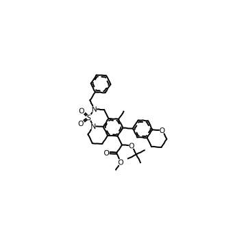 COC(=O)C(OC(C)(C)C)c1c2c3c(c(C)c1-c1ccc4c(c1)CCCO4)CN(Cc1ccccc1)S(=O)(=O)N3CCC2